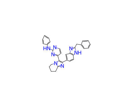 c1ccc(Cc2nc3cc(-c4nc5n(c4-c4ccnc(Nc6ccccc6)n4)CCCC5)ccc3[nH]2)cc1